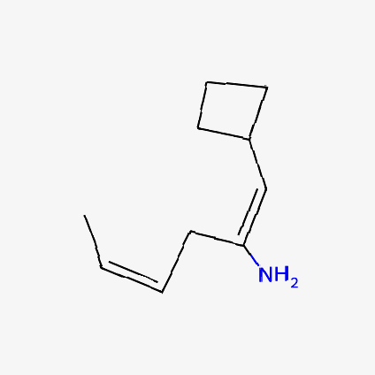 C/C=C\C/C(N)=C\C1CCC1